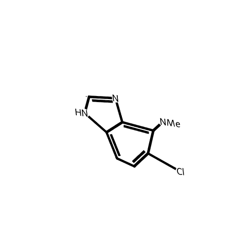 CNc1c(Cl)ccc2[nH][c]nc12